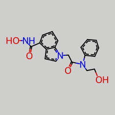 O=C(NO)c1cccc2c1ccn2CC(=O)N(CCO)c1ccccc1